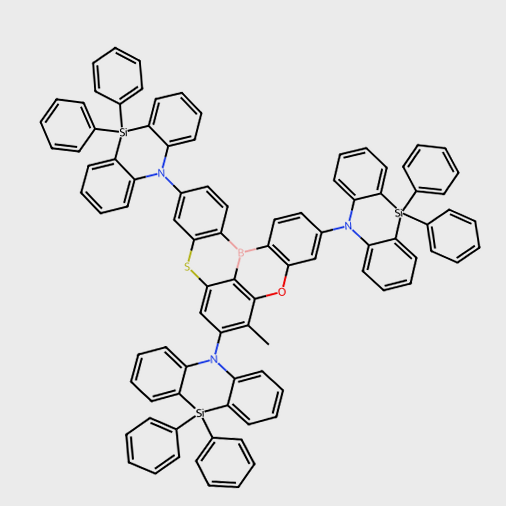 Cc1c(N2c3ccccc3[Si](c3ccccc3)(c3ccccc3)c3ccccc32)cc2c3c1Oc1cc(N4c5ccccc5[Si](c5ccccc5)(c5ccccc5)c5ccccc54)ccc1B3c1ccc(N3c4ccccc4[Si](c4ccccc4)(c4ccccc4)c4ccccc43)cc1S2